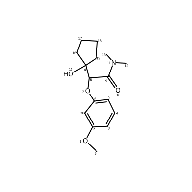 COc1cccc(OC(C(=O)N(C)C)C2(O)CCCC2)c1